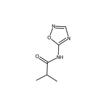 CC(C)C(=O)Nc1ncno1